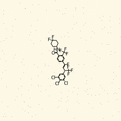 O=C(NC1CCC(F)(F)CC1)c1ccc(C(F)=CC(c2cc(Cl)c(Cl)c(Cl)c2)C(F)(F)F)cc1C(F)(F)F